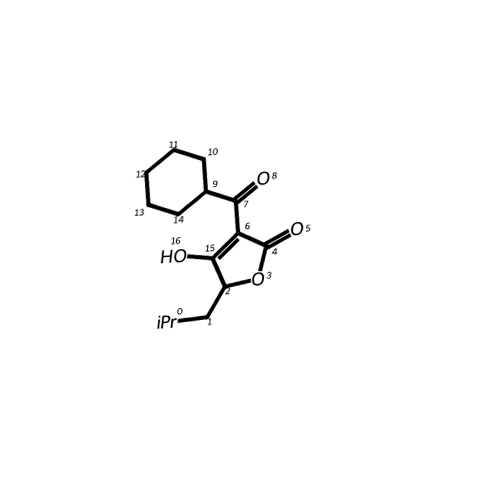 CC(C)CC1OC(=O)C(C(=O)C2CCCCC2)=C1O